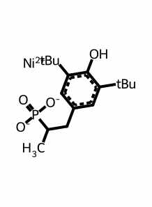 CC(Cc1cc(C(C)(C)C)c(O)c(C(C)(C)C)c1)P(=O)([O-])[O-].[Ni+2]